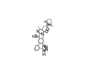 CCCCc1nc(C)c(CC(=O)N2[C@H](C)CCC[C@@H]2C)c(=O)n1Cc1ccc(-c2ccccc2-c2nnn[nH]2)cc1